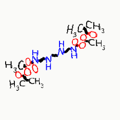 CC(OC(=O)NCCNCCNCCNC(=O)OC(C)OC(=O)C(C)C)OC(=O)C(C)C